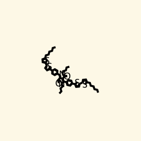 CCCCCCc1ccc(-c2ccc(-c3ccc(C4=C5C(=O)N(CCCC)C(c6ccc(-c7ccc(-c8ccc(CCCCCC)s8)s7)cc6)=C5CON4CCCC)cc3)s2)s1